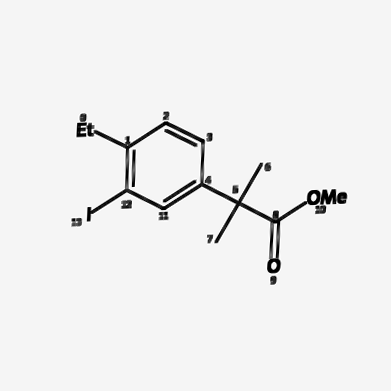 CCc1ccc(C(C)(C)C(=O)OC)cc1I